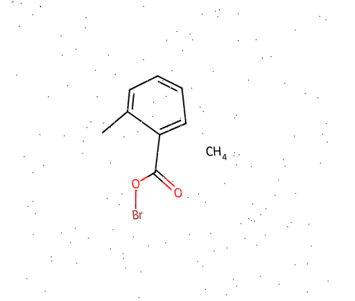 C.Cc1ccccc1C(=O)OBr